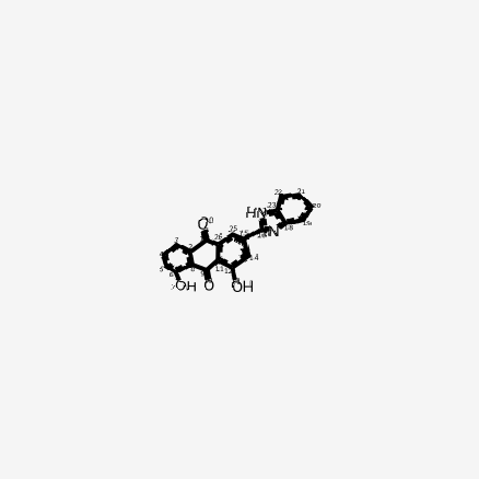 O=C1c2cccc(O)c2C(=O)c2c(O)cc(-c3nc4ccccc4[nH]3)cc21